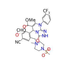 COC(=O)C1=C(C)N(c2cccc(C(F)(F)F)c2)c2n[nH]c(=O)n2C1c1ccc(C#N)cc1C[N+]1(C)CCN(S(C)(=O)=O)CC1.O=C[O-]